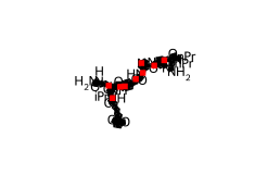 CCCN(CCC)C(=O)C1=Cc2ccc(C(=O)Nc3cncc(CNC(=O)OCc4ccc(NC(=O)[C@H](CCCCNC(N)=O)NC(=O)[C@@H](NC(=O)CCCCCN5C(=O)C=CC5=O)C(C)C)cc4)c3)cc2N=C(N)C1